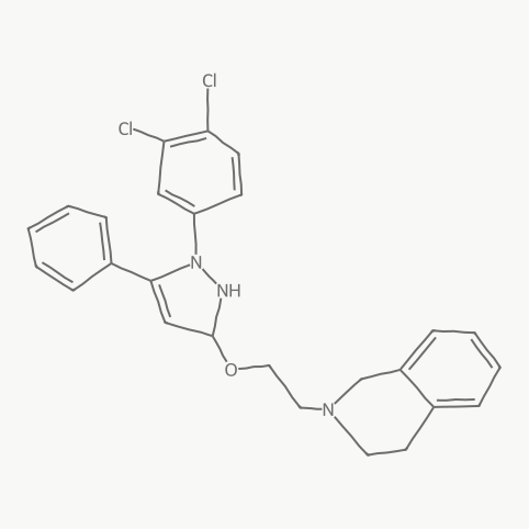 Clc1ccc(N2NC(OCCN3CCc4ccccc4C3)C=C2c2ccccc2)cc1Cl